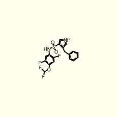 O=S(=O)(Nc1cc(F)c(OC(F)F)cc1F)c1c[nH]cc1Cc1ccccc1